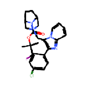 CC(C)(CI)OC(=O)N1C2CCC1CN(Cc1c(-c3ccc(Cl)cc3)nc3ccccn13)C2